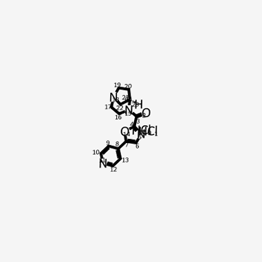 Cl.Cl.O=C(c1ncc(-c2ccncc2)o1)N1CCN2CC[C@@H]1C2